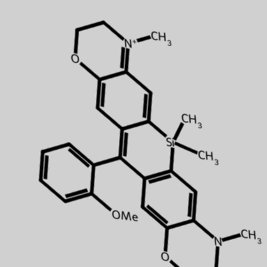 COc1ccccc1C1=c2cc3c(cc2[Si](C)(C)c2cc4c(cc21)OCCN4C)=[N+](C)CCO3